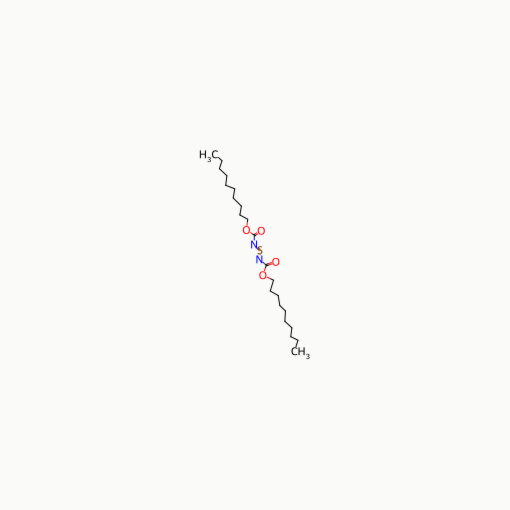 CCCCCCCCCCOC(=O)N=S=NC(=O)OCCCCCCCCCC